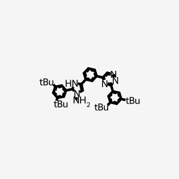 CC(C)(C)c1cc(-c2nncc(-c3cccc(C4=CN(N)C(c5cc(C(C)(C)C)cc(C(C)(C)C)c5)N4)c3)n2)cc(C(C)(C)C)c1